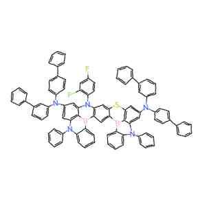 Fc1ccc(N2c3cc4c(cc3B3c5ccccc5N(c5ccccc5)c5cc(N(c6ccc(-c7ccccc7)cc6)c6cccc(-c7ccccc7)c6)cc2c53)B2c3ccccc3N(c3ccccc3)c3cc(N(c5ccc(-c6ccccc6)cc5)c5cccc(-c6ccccc6)c5)cc(c32)S4)c(F)c1